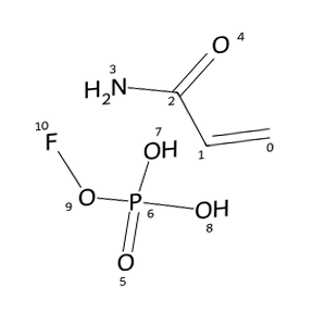 C=CC(N)=O.O=P(O)(O)OF